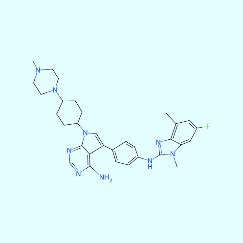 Cc1cc(F)cc2c1nc(Nc1ccc(-c3cn(C4CCC(N5CCN(C)CC5)CC4)c4ncnc(N)c34)cc1)n2C